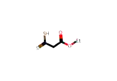 CCOC(=O)CC(=S)S